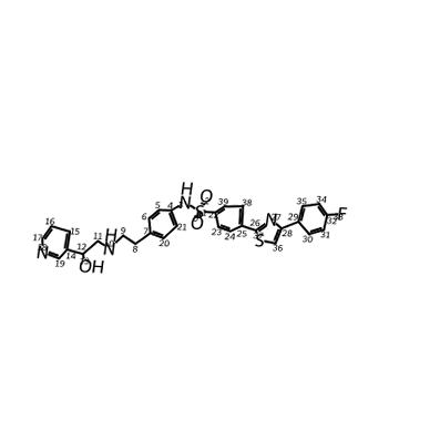 O=S(=O)(Nc1ccc(CCNCC(O)c2cccnc2)cc1)c1ccc(-c2nc(-c3ccc(F)cc3)cs2)cc1